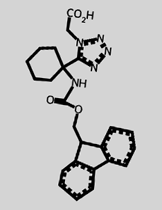 O=C(O)Cn1nnnc1C1(NC(=O)OCC2c3ccccc3-c3ccccc32)CCCCC1